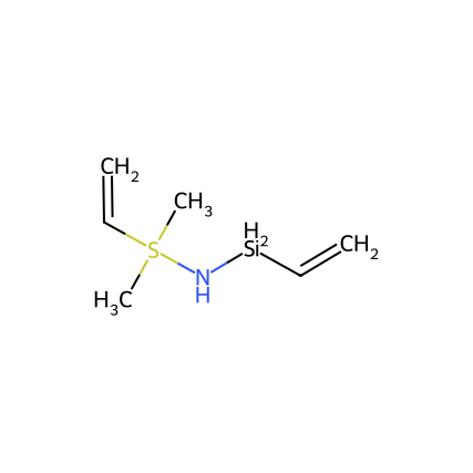 C=C[SiH2]NS(C)(C)C=C